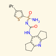 CC(C)c1csc(S(N)(=O)=NC(=O)Nc2c3c(nc4c2CCC4)CCC3)c1